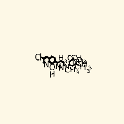 CN(c1ccc(-c2ccc3cc(Cl)cnc3c2O)nn1)C1CC(C)(C)NC(C)(C)C1